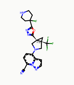 N#Cc1ccc(N2C[C@]3(c4nnc(C5(F)CCNCC5)o4)C[C@]3(C(F)(F)F)C2)c2ccnn12